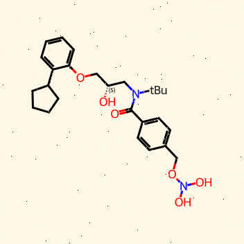 CC(C)(C)N(C[C@H](O)COc1ccccc1C1CCCC1)C(=O)c1ccc(CON(O)O)cc1